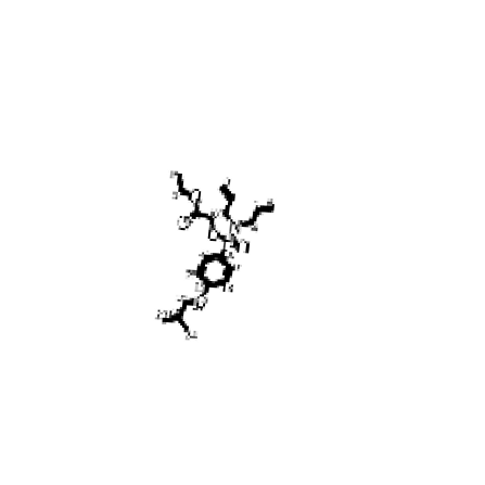 C=CCN(CC=C)P(=O)(OCC(=O)OCC)c1ccc(OCC(C)C)cc1